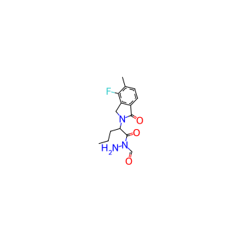 CCCC(C(=O)N(N)C=O)N1Cc2c(ccc(C)c2F)C1=O